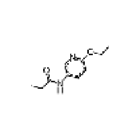 CCOc1ccc(NC(=O)CC)cn1